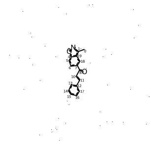 Cc1noc2ccc(C(=O)C=Cc3ccccc3)cc12